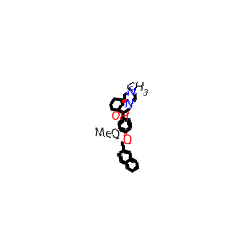 COc1cc(C(CN2CCN(C)CC2)C2(O)CCCCC2)ccc1OCc1ccc2ccccc2c1